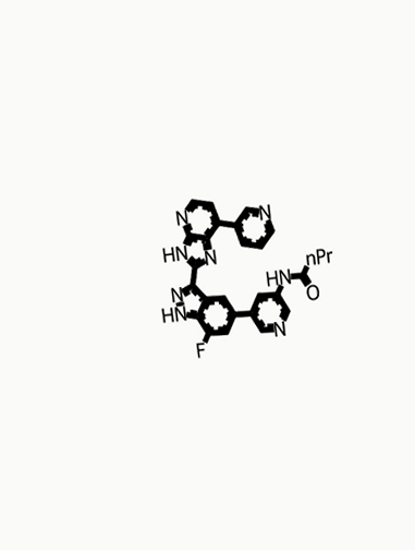 CCCC(=O)Nc1cncc(-c2cc(F)c3[nH]nc(-c4nc5c(-c6cccnc6)ccnc5[nH]4)c3c2)c1